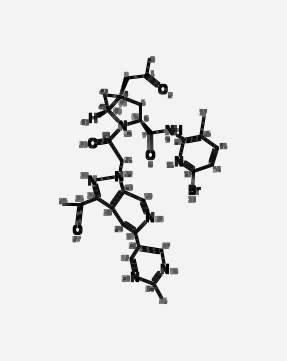 CC(=O)C[C@@]12C[C@@H](C(=O)Nc3nc(Br)ccc3C)N(C(=O)Cn3nc(C(C)=O)c4cc(-c5cnc(C)nc5)ncc43)[C@@H]1C2